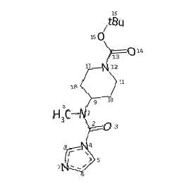 CN(C(=O)n1ccnc1)C1CCN(C(=O)OC(C)(C)C)CC1